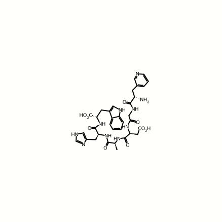 C[C@H](NC(=O)[C@H](CC(=O)O)NC(=O)CNC(=O)[C@@H](N)Cc1cccnc1)C(=O)N[C@@H](Cc1c[nH]cn1)C(=O)N[C@@H](Cc1c[nH]c2ccccc12)C(=O)O